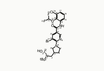 CC(C)(C)N(CC1CCN(c2ncc(C(=O)Nc3cccc(Cl)c3OC(F)F)cc2Br)C1)C(=O)O